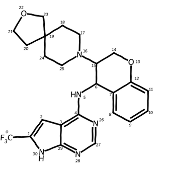 FC(F)(F)c1cc2c(NC3c4ccccc4OCC3N3CCC4(CCOC4)CC3)ncnc2[nH]1